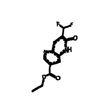 CCOC(=O)c1cnc2cc(C(F)F)c(=O)[nH]c2c1